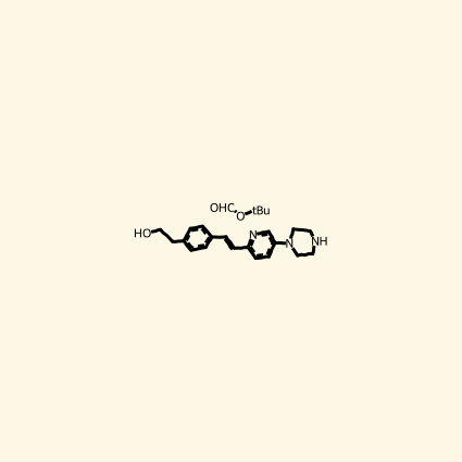 CC(C)(C)OC=O.OCCc1ccc(C=Cc2ccc(N3CCNCC3)cn2)cc1